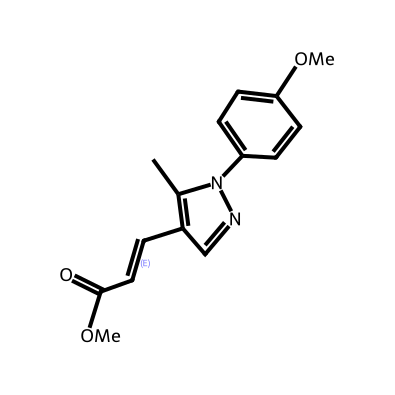 COC(=O)/C=C/c1cnn(-c2ccc(OC)cc2)c1C